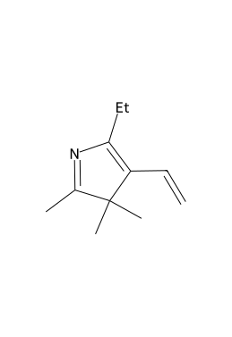 C=CC1=C(CC)N=C(C)C1(C)C